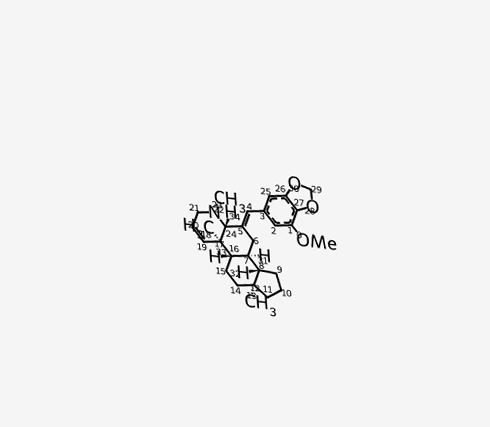 COc1cc(/C=C2\C[C@H]3[C@@H]4CCC[C@@]4(C)CC[C@@H]3[C@@]3(C)C=CCN(C)[C@H]23)cc2c1OCO2